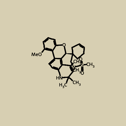 COc1cccc2c1-c1ccc3c(c1[C@H](C1(CN(C)S(C)(=O)=O)CC=CCC1)O2)C(C)=CC(C)(C)N3